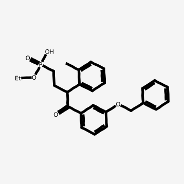 CCOP(=O)(O)CCC(C(=O)c1cccc(OCc2ccccc2)c1)c1ccccc1C